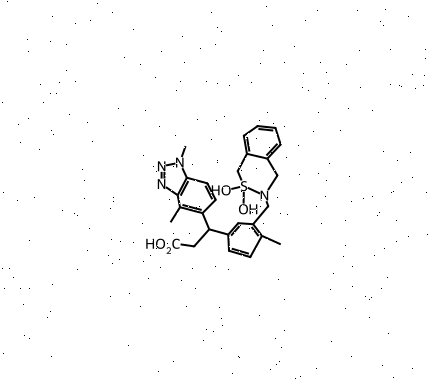 Cc1ccc(C(CC(=O)O)c2ccc3c(nnn3C)c2C)cc1CN1Cc2ccccc2CS1(O)O